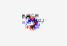 CC(C)(O/N=C(\C(=O)NC1C(=O)N2CC(C(=O)O)(N3CCN(NC(=O)C(=N)c4ccc(O)c(O)c4Cl)C3=O)S[C@H]12)c1csc(N)n1)C(=O)O